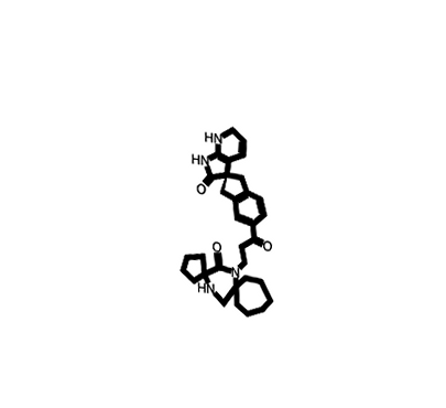 O=C(CCN1C(=O)C2(CCCC2)NCC12CCCCCC2)c1ccc2c(c1)C[C@@]1(C2)C(=O)NC2=C1C=CCN2